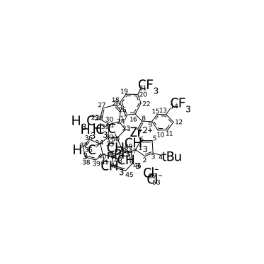 CCCC1C=C(C(C)(C)C)C=[C]1[Zr+2](=[C](c1cccc(C(F)(F)F)c1)c1cccc(C(F)(F)F)c1)[CH]1C2C=CC=C(C)C2(C)C2(C)C3(C)C=CC=CC3(C)C3(C)C=CC=CC3(C)C12C.[Cl-].[Cl-]